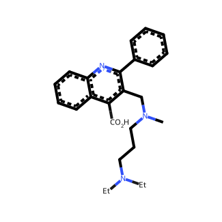 CCN(CC)CCCN(C)Cc1c(-c2ccccc2)nc2ccccc2c1C(=O)O